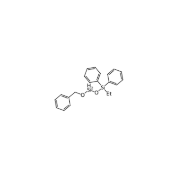 CC[Si](O[SiH2]OCc1ccccc1)(c1ccccc1)c1ccccc1